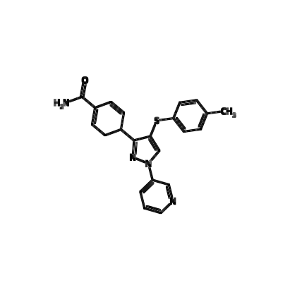 Cc1ccc(Sc2cn(-c3cccnc3)nc2C2C=CC(C(N)=O)=CC2)cc1